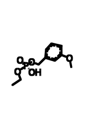 CCOP(=O)(O)OCc1cccc(OC)c1